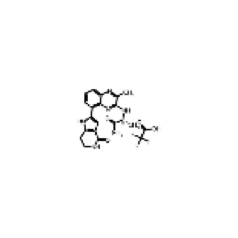 Cc1nc2cccc(-c3cc4c([nH]3)CCNC4=O)c2nc1N[C@H](C)C(N)=O.O=C(O)C(F)(F)F